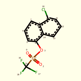 O=S(=O)(Oc1cccc2c(Cl)cccc12)C(F)(F)F